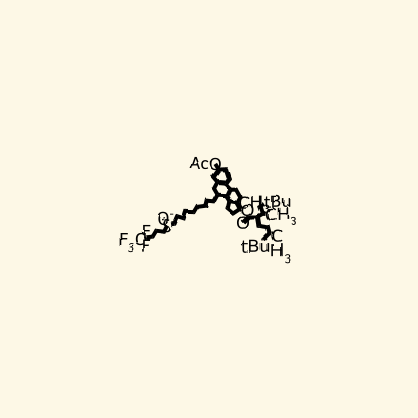 CC(=O)Oc1ccc2c(c1)CC(CCCCCCCCC[S+]([O-])CCCC(F)(F)C(F)(F)F)C1C2CCC2(C)C(OC(=O)C(CCC(C)CC(C)(C)C)C(C)CC(C)(C)C)CCC12